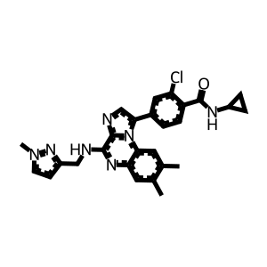 Cc1cc2nc(NCc3ccn(C)n3)c3ncc(-c4ccc(C(=O)NC5CC5)c(Cl)c4)n3c2cc1C